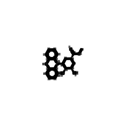 COC(=O)[C@@H]1C[C@H](O)[C@H](O)[C@@H](N2c3ccccc3Oc3ccccc32)C1